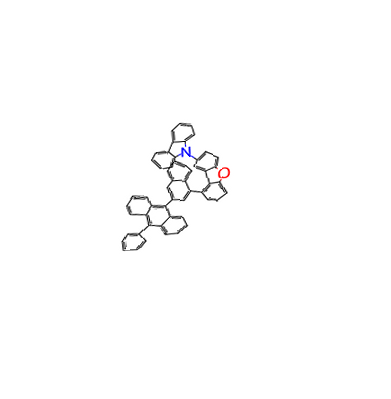 c1ccc(-c2c3ccccc3c(-c3cc(-c4cccc5oc6ccc(-n7c8ccccc8c8ccccc87)cc6c45)c4ccccc4c3)c3ccccc23)cc1